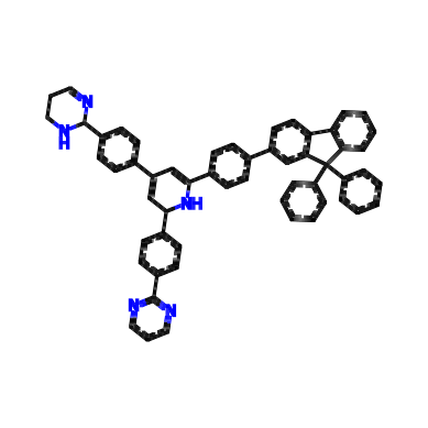 C1=NC(c2ccc(C3=CC(c4ccc(-c5ncccn5)cc4)NC(c4ccc(-c5ccc6c(c5)C(c5ccccc5)(c5ccccc5)c5ccccc5-6)cc4)=C3)cc2)NCC1